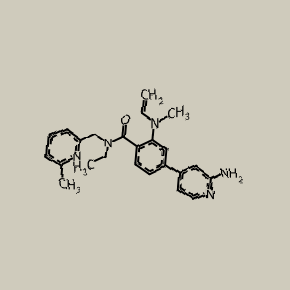 C=CN(C)c1cc(-c2ccnc(N)c2)ccc1C(=O)N(CC)Cc1cccc(C)n1